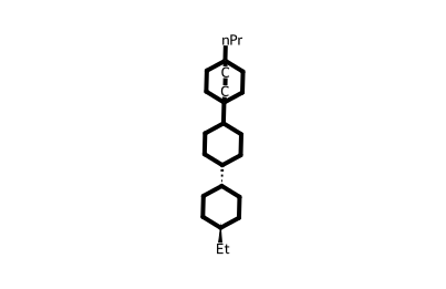 CCCC12CCC(C3CCC([C@H]4CC[C@H](CC)CC4)CC3)(CC1)CC2